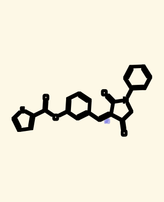 O=C1CN(c2ccccc2)C(=O)/C1=C\c1cccc(OC(=O)c2cccs2)c1